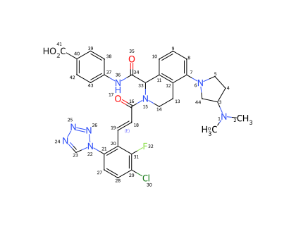 CN(C)C1CCN(c2cccc3c2CCN(C(=O)/C=C/c2c(-n4cnnn4)ccc(Cl)c2F)C3C(=O)Nc2ccc(C(=O)O)cc2)C1